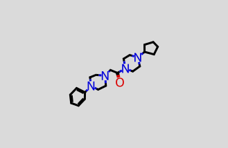 O=C(CN1CCN(c2ccccc2)CC1)N1CCN(C2CCCC2)CC1